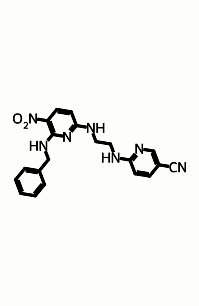 N#Cc1ccc(NCCNc2ccc([N+](=O)[O-])c(NCc3ccccc3)n2)nc1